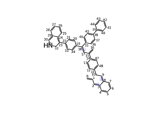 C=C/C=c1/cccc/c1=C/Cc1ccc(C(=C)/C=C(/c2ccc(C3=c4ccccc4=CNC3)cc2)c2ccc(-c3ccccc3)cc2)cc1